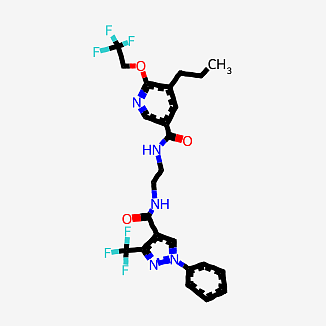 CCCc1cc(C(=O)NCCNC(=O)c2cn(-c3ccccc3)nc2C(F)(F)F)cnc1OCC(F)(F)F